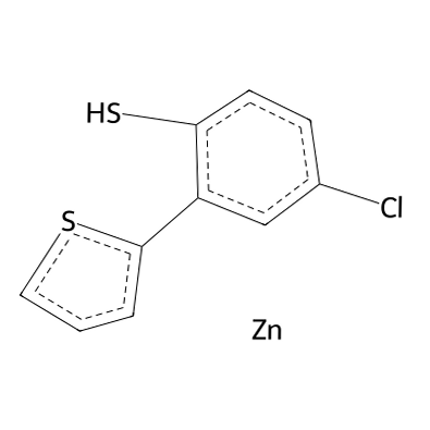 Sc1ccc(Cl)cc1-c1cccs1.[Zn]